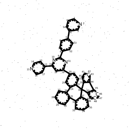 c1cncc(-c2ccc(-c3nc(-c4ccncc4)cc(-c4ccc5c(c4)-c4ccccc4-c4ccccc4C54c5ccccc5-c5ccccc54)n3)cc2)c1